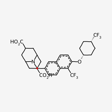 O=C(O)C1CC2CC(C(=O)O)CC(C1)N2Cc1ccc2c(C(F)(F)F)c(O[C@H]3CC[C@@H](C(F)(F)F)CC3)ccc2c1